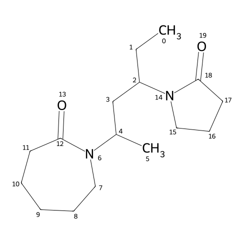 CCC(CC(C)N1CCCCCC1=O)N1CCCC1=O